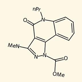 CCCn1c(=O)c2c(NC)nn(C(=O)OC)c2c2ccccc21